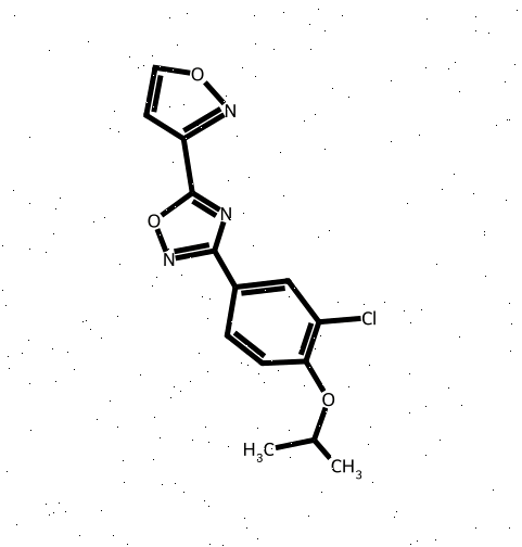 CC(C)Oc1ccc(-c2noc(-c3ccon3)n2)cc1Cl